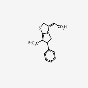 CCOC(=O)C1=C2SCC(=CC(=O)O)N2CC1c1ccccc1